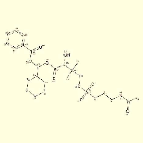 CC(=O)NCCCS(=O)(=O)OCC(C)(C)[C@@H](O)C(=O)OC(OC(=O)c1ccccc1)C1CCCCC1